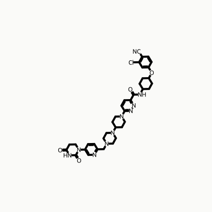 N#Cc1ccc(OC2CCC(NC(=O)c3ccc(N4CCC(N5CCN(Cc6ccc(N7CCC(=O)NC7=O)cn6)CC5)CC4)nn3)CC2)cc1Cl